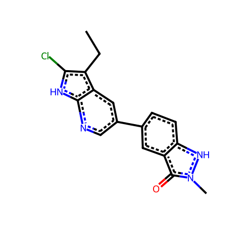 CCc1c(Cl)[nH]c2ncc(-c3ccc4[nH]n(C)c(=O)c4c3)cc12